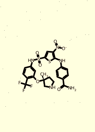 C[C@@]1(Oc2cc(NS(=O)(=O)c3cc([N+](=O)[O-])c(Nc4ccc(C(N)=O)cc4)s3)ccc2C(F)(F)F)CCNC1